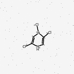 ClC1=CN(Cl)C(Cl)=CN1